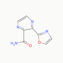 NC(=O)c1nccnc1-c1ncco1